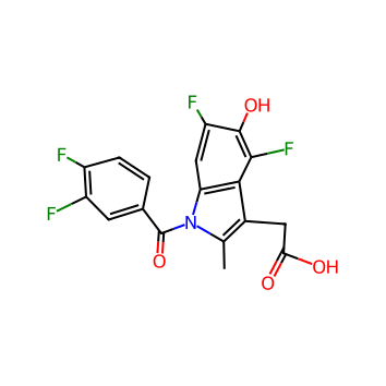 Cc1c(CC(=O)O)c2c(F)c(O)c(F)cc2n1C(=O)c1ccc(F)c(F)c1